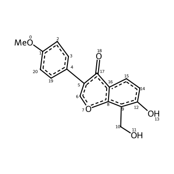 COc1ccc(-c2coc3c(CO)c(O)ccc3c2=O)cc1